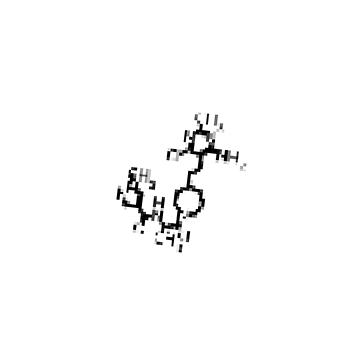 Cc1nc(N)c(CCC2CCCN(C(=O)[C@H](C)NC(=O)c3cnn(C)c3)CC2)c(Cl)n1